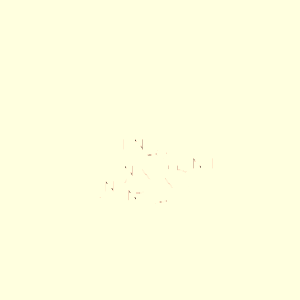 CCCCNC(=O)c1nc(N)nc2ccc(C3(C(=O)NCC)CCC3)cc12